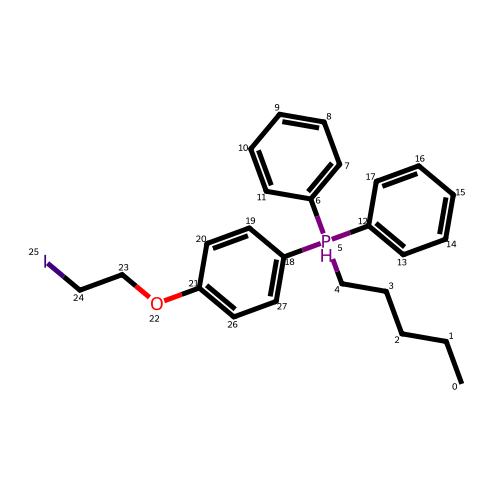 CCCCC[PH](c1ccccc1)(c1ccccc1)c1ccc(OCCI)cc1